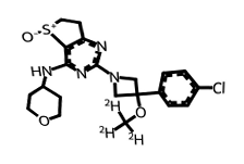 [2H]C([2H])([2H])OC1(c2ccc(Cl)cc2)CN(c2nc3c(c(NC4CCOCC4)n2)[S@+]([O-])CC3)C1